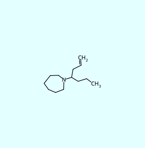 C=CCC(CCC)N1CCCCCC1